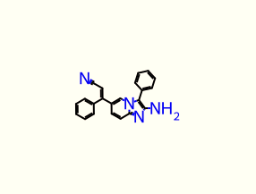 N#CC=C(c1ccccc1)c1ccc2nc(N)c(-c3ccccc3)n2c1